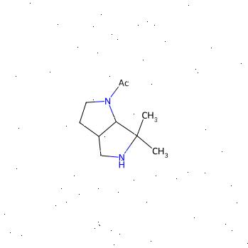 CC(=O)N1CCC2CNC(C)(C)C21